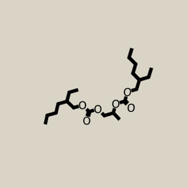 CCCCC(CC)COC(=O)OCC(C)OC(=O)OCC(CC)CCCC